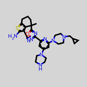 CC1(c2nc(-c3cc(N4CCNCC4)cc(N4CCN(CC5CC5)CC4)n3)no2)CCCc2sc(N)c(C#N)c21